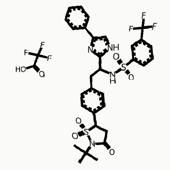 CC(C)(C)N1C(=O)CC(c2ccc(CC(NS(=O)(=O)c3cccc(C(F)(F)F)c3)c3nc(-c4ccccc4)c[nH]3)cc2)S1(=O)=O.O=C(O)C(F)(F)F